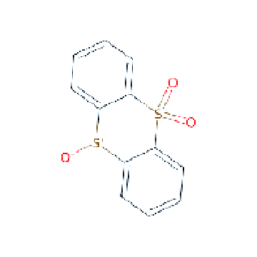 O=S1(=O)c2ccccc2[S+]([O-])c2ccccc21